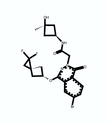 C[C@]1(O)C[C@@H](NC(=O)Cn2nc(O[C@H]3C[C@@]4(CC4(F)F)C3)c3cc(Br)ccc3c2=O)C1